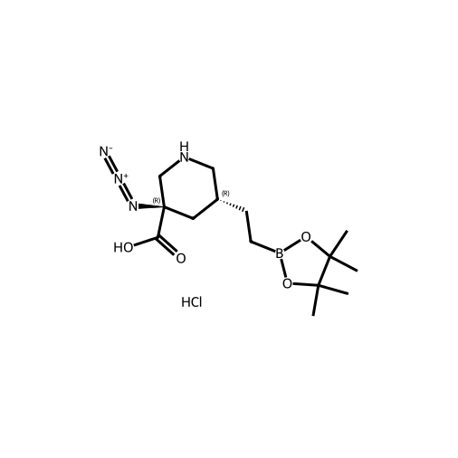 CC1(C)OB(CC[C@H]2CNC[C@@](N=[N+]=[N-])(C(=O)O)C2)OC1(C)C.Cl